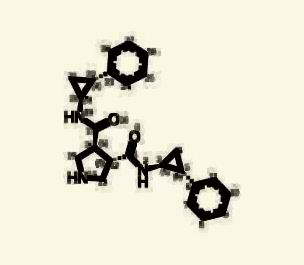 O=C(N[C@H]1C[C@@H]1c1ccccc1)[C@@H]1CNC[C@H]1C(=O)N[C@H]1C[C@@H]1c1ccccc1